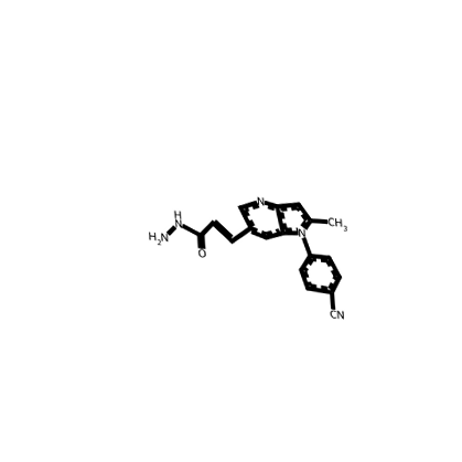 Cc1cc2ncc(/C=C/C(=O)NN)cc2n1-c1ccc(C#N)cc1